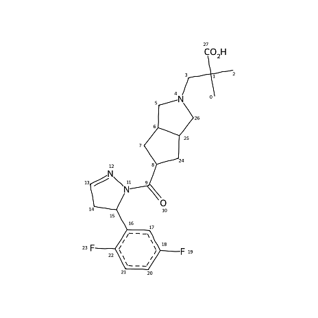 CC(C)(CN1CC2CC(C(=O)N3N=CCC3c3cc(F)ccc3F)CC2C1)C(=O)O